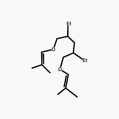 CCC(COC=C(C)C)CC(CC)COC=C(C)C